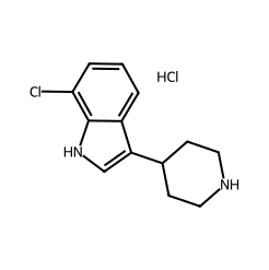 Cl.Clc1cccc2c(C3CCNCC3)c[nH]c12